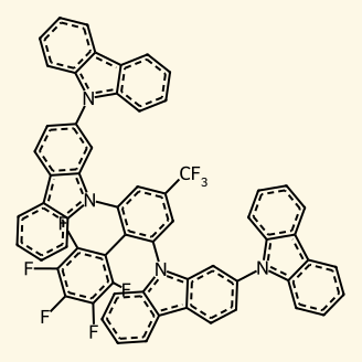 Fc1c(F)c(F)c(-c2c(-n3c4ccccc4c4ccc(-n5c6ccccc6c6ccccc65)cc43)cc(C(F)(F)F)cc2-n2c3ccccc3c3ccc(-n4c5ccccc5c5ccccc54)cc32)c(F)c1F